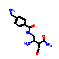 NCc1ccc(C(=O)NCC(N)C(=C=O)C(N)=O)cc1